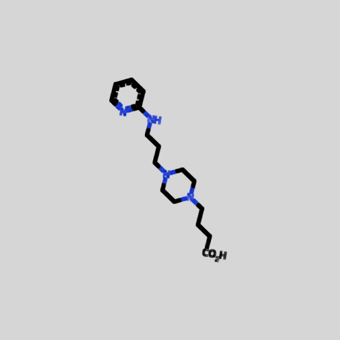 O=C(O)CCCN1CCN(CCCNc2ccccn2)CC1